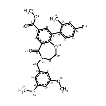 COC(=O)c1cc2c(c(-c3ccc(F)cc3C)c1)OCCN(Cc1cc(OC)cc(OC)c1)C2=O